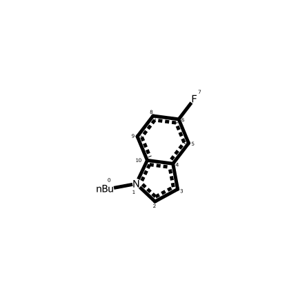 CCCCn1ccc2cc(F)ccc21